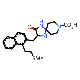 CSCCc1c(CC2NC3(CCN(C(=O)O)CC3)NC2=O)ccc2ccccc12